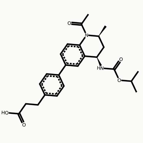 CC(=O)N1c2ccc(-c3ccc(CCC(=O)O)cc3)cc2[C@H](NC(=O)OC(C)C)C[C@@H]1C